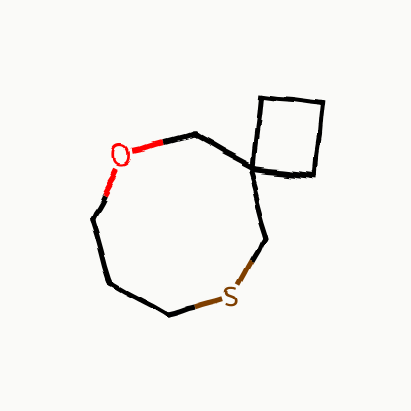 C1COCC2(CCC2)CSC1